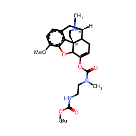 COc1ccc2c3c1OC1C(OC(=O)N(C)CCNC(=O)OC(C)(C)C)=CCC4[C@@H](C2)N(C)CC[C@]314